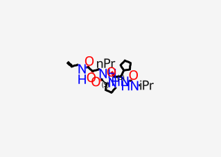 C=CCNC(=O)C(=O)C(CCC)NC(=O)[C@@H]1CCCN1C(=O)[C@@H](NC(=O)NC(C)C)C1CCCC1